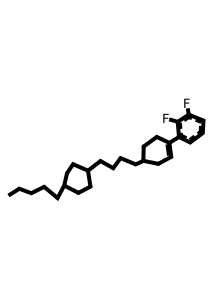 CCCCCC1CCC(CCCCC2CC=C(c3cccc(F)c3F)CC2)CC1